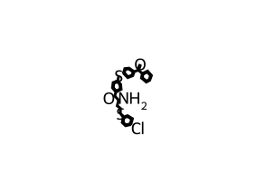 NC(CCSc1ccc(Cl)cc1)C(=O)c1ccc(Sc2ccc(C(=O)c3ccccc3)cc2)cc1